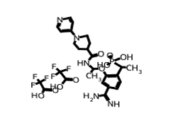 CC(NC(=O)C1CCN(c2ccncc2)CC1)Oc1cc(C(=N)N)ccc1C(C)P(=O)(O)O.O=C(O)C(F)(F)F.O=C(O)C(F)(F)F